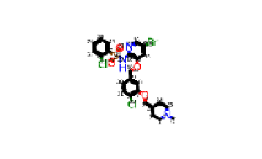 CN1CCC(COc2cc(COc3cc(Br)cnc3NS(=O)(=O)c3ccccc3Cl)ccc2Cl)CC1